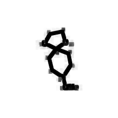 CON1CCC2(CC1)OCCO2